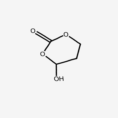 O=C1OCCC(O)O1